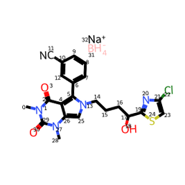 Cn1c(=O)c2c(-c3cccc(C#N)c3)n(CCCC(O)c3nc(Cl)cs3)cc2n(C)c1=O.[BH4-].[Na+]